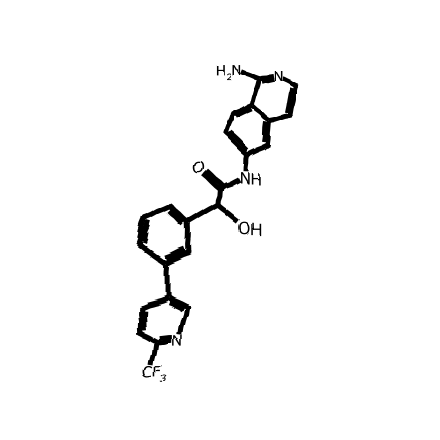 Nc1nccc2cc(NC(=O)C(O)c3cccc(-c4ccc(C(F)(F)F)nc4)c3)ccc12